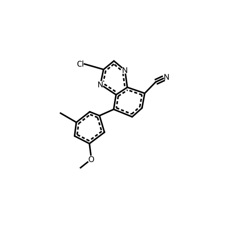 COc1cc(C)cc(-c2ccc(C#N)c3ncc(Cl)nc23)c1